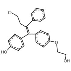 OCCOc1ccc(/C(=C(/CCCl)c2ccccc2)c2ccc(O)cc2)cc1